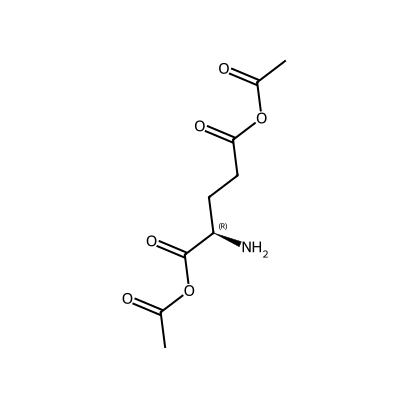 CC(=O)OC(=O)CC[C@@H](N)C(=O)OC(C)=O